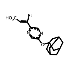 CC/C(=C\C(=O)O)c1cnc(OC23CC4CC(CC(C4)C2)C3)cn1